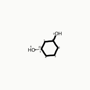 OC1CCC[C@H](O)C1